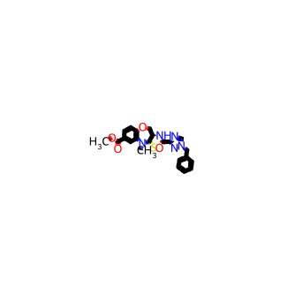 COC(=O)c1ccc2c(c1)N(C)C(=S)[C@@H](NC(=O)c1ncn(Cc3ccccc3)n1)CO2